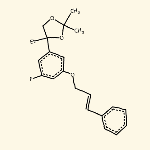 CCC1(c2cc(F)cc(OCC=Cc3ccccc3)c2)COC(C)(C)O1